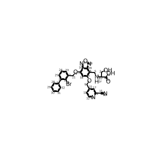 C[C@@](CO)(NCc1c(OCc2ccnc(C#N)c2)cc(OCc2cccc(-c3ccccc3)c2Br)c2nonc12)C(=O)O